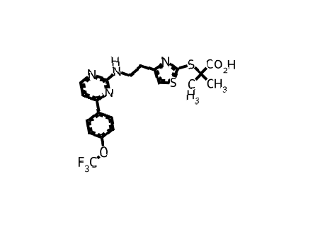 CC(C)(Sc1nc(CCNc2nccc(-c3ccc(OC(F)(F)F)cc3)n2)cs1)C(=O)O